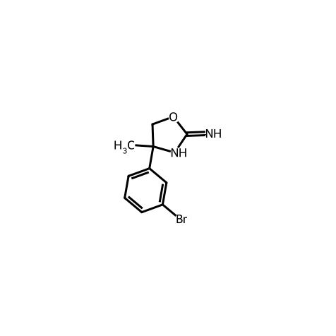 CC1(c2cccc(Br)c2)COC(=N)N1